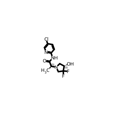 C[C@@H](C(=O)Nc1ccc(Cl)cn1)N1C[C@H](O)C(F)(F)C1